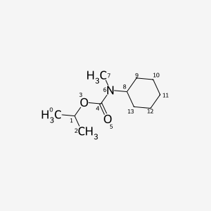 CC(C)OC(=O)N(C)C1CCCCC1